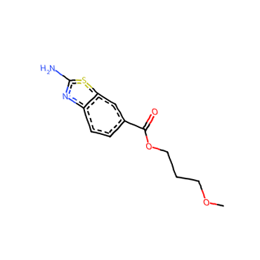 COCCCOC(=O)c1ccc2nc(N)sc2c1